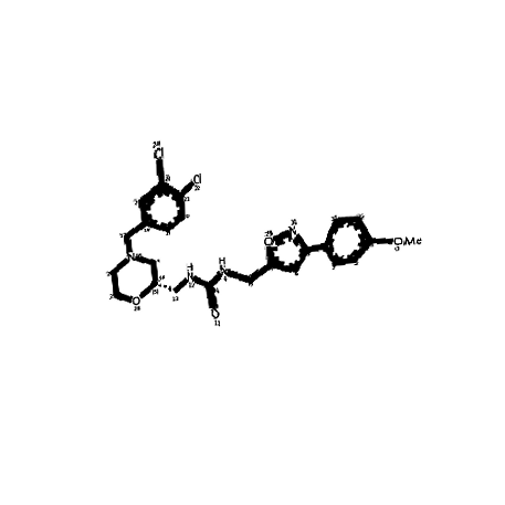 COc1ccc(-c2cc(CNC(=O)NC[C@H]3CN(Cc4ccc(Cl)c(Cl)c4)CCO3)on2)cc1